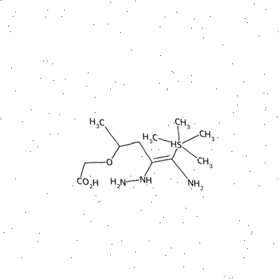 CC(C/C(NN)=C(/N)[SH](C)(C)(C)C)OCC(=O)O